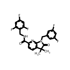 CC1(C)C(=O)N(Cc2cc(F)cc(F)c2)c2nc(C(=O)NCc3c(F)cc(F)cc3F)ccc21